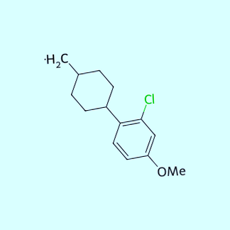 [CH2]C1CCC(c2ccc(OC)cc2Cl)CC1